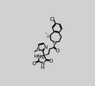 C[C@H]1CN(C(=O)CC[C@]2(c3nccn3C)NC(=O)NC2=O)CCc2ccc(Cl)cc21